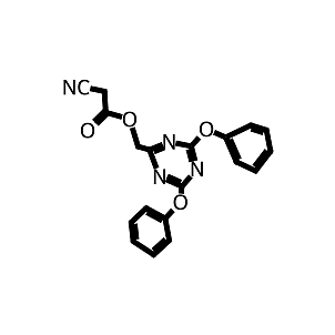 N#CCC(=O)OCc1nc(Oc2ccccc2)nc(Oc2ccccc2)n1